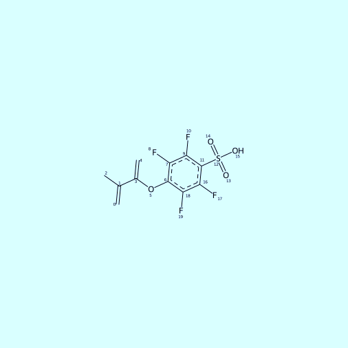 C=C(C)C(=C)Oc1c(F)c(F)c(S(=O)(=O)O)c(F)c1F